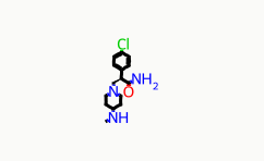 CNC1CCN(C[C@H](C(N)=O)c2ccc(Cl)cc2)CC1